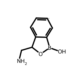 NCC1OB(O)c2c[c]ccc21